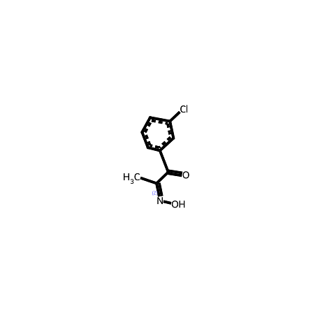 C/C(=N/O)C(=O)c1cccc(Cl)c1